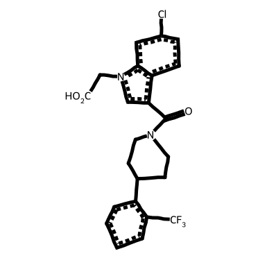 O=C(O)Cn1cc(C(=O)N2CCC(c3ccccc3C(F)(F)F)CC2)c2ccc(Cl)cc21